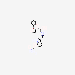 CC(C)(Cc1c[nH]c2c(OCC(N)=O)cccc12)NC[C@H](O)COc1ccccc1-c1ccco1